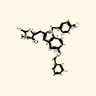 O=C1NC(=S)SC1=Cc1cc2cc(OCc3ccccc3)ccc2n1Cc1ccc(Cl)cc1